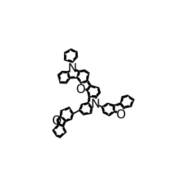 c1ccc(-n2c3ccccc3c3c4oc5c(ccc6c5c5cc(-c7ccc8oc9ccccc9c8c7)ccc5n6-c5ccc6oc7ccccc7c6c5)c4ccc32)cc1